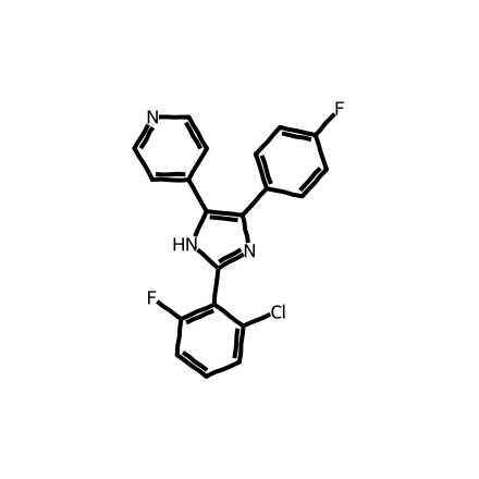 Fc1ccc(-c2nc(-c3c(F)cccc3Cl)[nH]c2-c2ccncc2)cc1